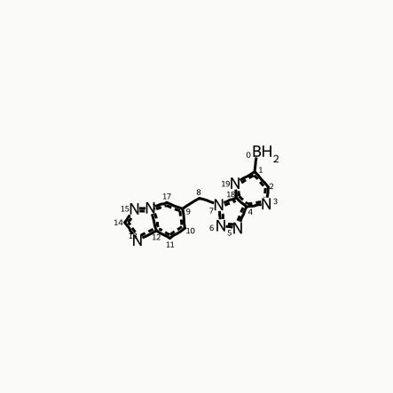 Bc1cnc2nnn(Cc3ccc4ncnn4c3)c2n1